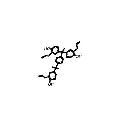 C=CCc1cc(C(C)(C)c2ccc(C(C)(c3ccc(O)c(CC=C)c3)c3ccc(O)c(CC=C)c3)cc2)ccc1O